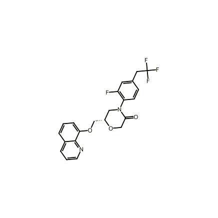 O=C1CO[C@H](COc2cccc3cccnc23)CN1c1ccc(CC(F)(F)F)cc1F